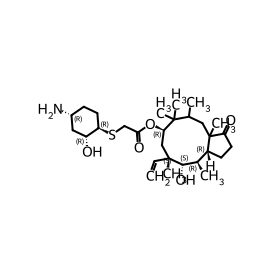 C=C[C@]1(C)C[C@@H](OC(=O)CS[C@@H]2CC[C@@H](N)C[C@H]2O)C(C)(C)C(C)CC2(C)C(=O)CC[C@@H]2[C@@H](C)[C@@H]1O